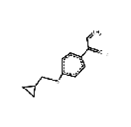 C=CC(=C)c1ccc(SCC2CC2)cc1